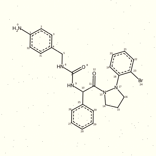 Nc1ccc(CNC(=O)NC(C(=O)N2CCCN2c2ccccc2Br)c2ccccc2)cc1